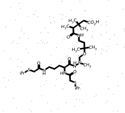 CC(C)SCC(=O)NCCCC(NC(=O)CSC(C)C)C(=O)NN(C)COC(C)(C)CCNC(=O)C(C)C(C)(C)CC(=O)O